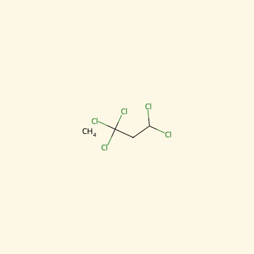 C.ClC(Cl)CC(Cl)(Cl)Cl